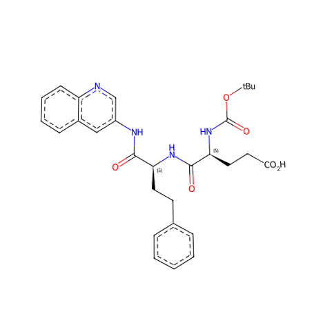 CC(C)(C)OC(=O)N[C@@H](CCC(=O)O)C(=O)N[C@@H](CCc1ccccc1)C(=O)Nc1cnc2ccccc2c1